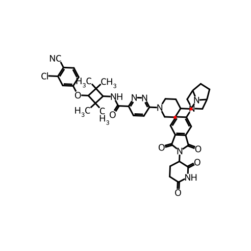 CC1(C)C(NC(=O)c2ccc(N3CCC(CN4C5CCC4CN(c4ccc6c(c4)C(=O)N(C4CCC(=O)NC4=O)C6=O)C5)CC3)nn2)C(C)(C)C1Oc1ccc(C#N)c(Cl)c1